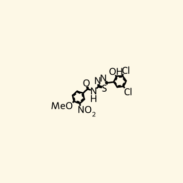 COc1ccc(C(=O)Nc2nnc(-c3cc(Cl)cc(Cl)c3O)s2)cc1[N+](=O)[O-]